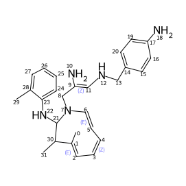 C\C1=C/C=C\C=C\N(C/C(N)=C/NCc2ccc(N)cc2)C(Nc2ccccc2C)C1C